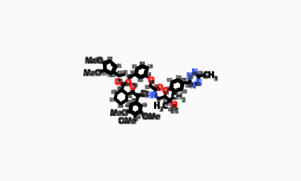 CCOC(C)(C)C(CNC(=O)COc1cccc([C@@H](CCc2ccc(OC)c(OC)c2)OC(=O)[C@@H]2CCCCC2C(=O)[C@@H](CC)c2cc(OC)c(OC)c(OC)c2)c1)Oc1ccc(-c2nnc(C)nn2)cc1